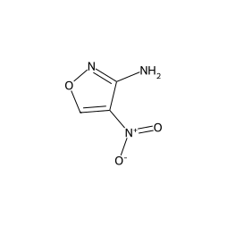 Nc1nocc1[N+](=O)[O-]